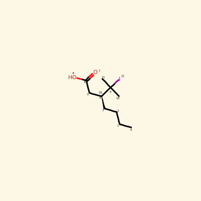 CCCC[C@@H](CC(=O)O)C(C)(C)I